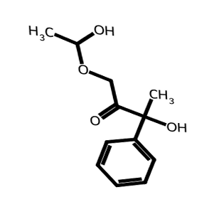 CC(O)OCC(=O)C(C)(O)c1ccccc1